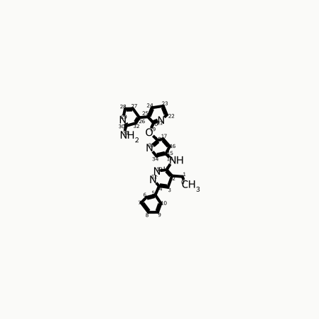 CCc1cc(-c2ccccc2)nnc1Nc1ccc(Oc2ncccc2-c2ccnc(N)c2)nc1